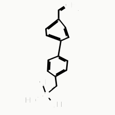 C=Cc1ccc(-c2ccc([CH2][Sn]([CH3])([CH3])[CH3])cc2)cc1